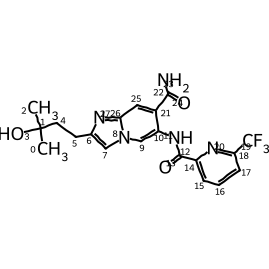 CC(C)(O)CCc1cn2cc(NC(=O)c3cccc(C(F)(F)F)n3)c(C(N)=O)cc2n1